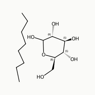 CCCCCCCC.OC[C@H]1OC(O)[C@H](O)[C@@H](O)[C@@H]1O